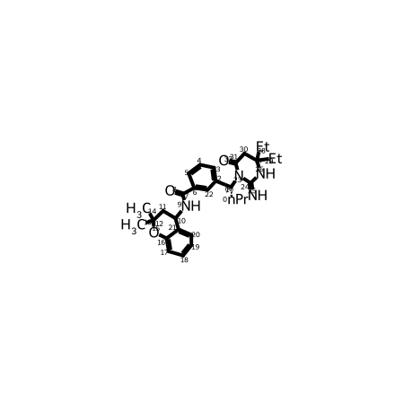 CCC[C@H](c1cccc(C(=O)NC2CC(C)(C)Oc3ccccc32)c1)N1C(=N)NC(CC)(CC)CC1=O